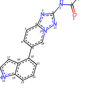 CC(=O)Nc1nc2ccc(-c3cccc4[nH]ccc34)cn2n1